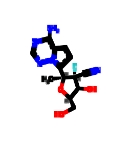 C[C@@]1(c2ccc3c(N)ncnn23)O[C@H](CO)C(O)[C@]1(F)C#N